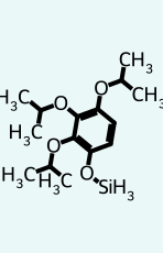 CC(C)Oc1ccc(O[SiH3])c(OC(C)C)c1OC(C)C